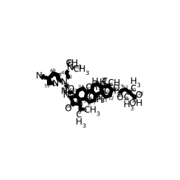 CC(C)C1=C2C3CC[C@@H]4C5(C)CCC(OC(=O)CC(C)(C)C(=O)O)C(C)(C)[C@@H]5CC[C@@]4(C)[C@]3(C)CC[C@@]2(c2nnc(N(CCN(C)C)c3ccc(C#N)cn3)o2)CC1=O